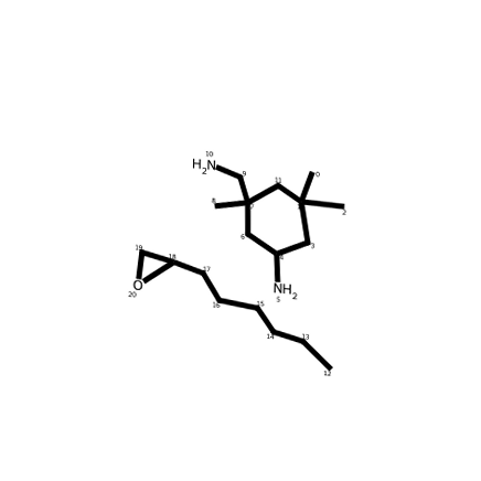 CC1(C)CC(N)CC(C)(CN)C1.CCCCCCC1CO1